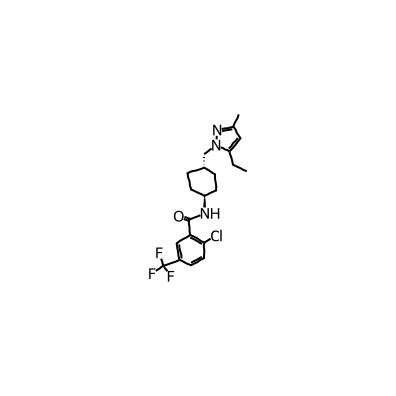 CCc1cc(C)nn1C[C@H]1CC[C@H](NC(=O)c2cc(C(F)(F)F)ccc2Cl)CC1